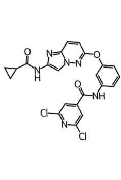 O=C(Nc1cccc(Oc2ccc3nc(NC(=O)C4CC4)cn3n2)c1)c1cc(Cl)nc(Cl)c1